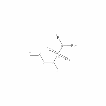 C=CCC(C)S(=O)(=O)C(F)F